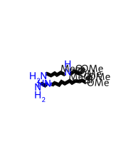 CO[Si](CCCCCCCCCCCNCCN)(OC)OC.CO[Si](CCCNCCCCCCN)(OC)OC